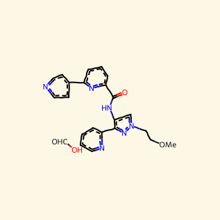 COCCn1cc(NC(=O)c2cccc(-c3ccncc3)n2)c(-c2ccccn2)n1.O=CO